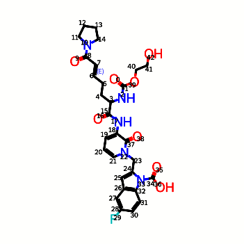 O=C(NC(CC/C=C/C(=O)N1CCCC1)C(=O)Nc1cccn(Cc2cc3cc(F)ccc3n2C(=O)O)c1=O)OCCO